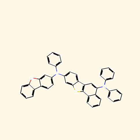 c1ccc(N(c2ccc3c(c2)oc2ccccc23)c2ccc3c(c2)sc2c4ccccc4c(N(c4ccccc4)c4ccccc4)cc32)cc1